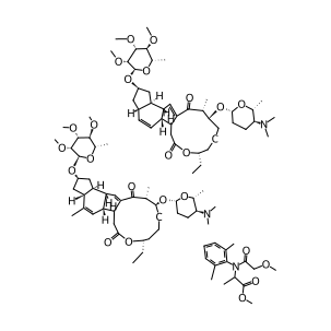 CC[C@H]1CCC[C@H](O[C@H]2CC[C@H](N(C)C)[C@@H](C)O2)[C@@H](C)C(=O)C2=C[C@@H]3[C@@H](C=C(C)[C@@H]4C[C@@H](O[C@@H]5O[C@@H](C)[C@H](OC)[C@@H](OC)[C@H]5OC)C[C@@H]34)[C@@H]2CC(=O)O1.CC[C@H]1CCC[C@H](O[C@H]2CC[C@H](N(C)C)[C@@H](C)O2)[C@@H](C)C(=O)C2=C[C@@H]3[C@@H](C=C[C@@H]4C[C@@H](O[C@@H]5O[C@@H](C)[C@H](OC)[C@@H](OC)[C@H]5OC)C[C@@H]34)[C@@H]2CC(=O)O1.COCC(=O)N(c1c(C)cccc1C)C(C)C(=O)OC